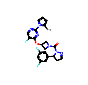 N#Cc1cccn1-c1ncc(F)c(OC2CN(C(=O)N3N=CCC3c3cc(F)cc(F)c3)C2)n1